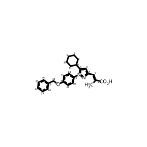 CC(=Cc1cc(C2CCCCC2)n(-c2ccc(OCc3ccccc3)cc2)n1)C(=O)O